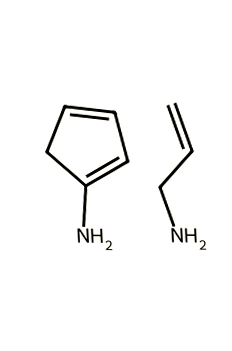 C=CCN.NC1=CC=CC1